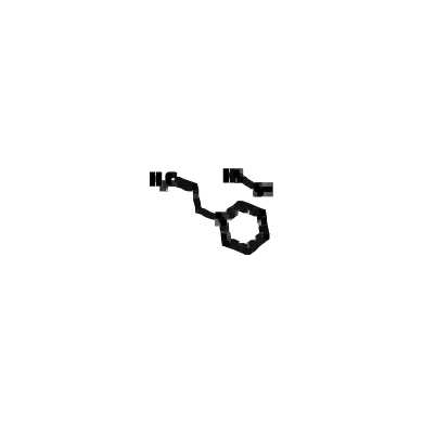 C=CC[n+]1ccccc1.SS